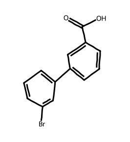 O=C(O)c1cccc(-c2cccc(Br)c2)c1